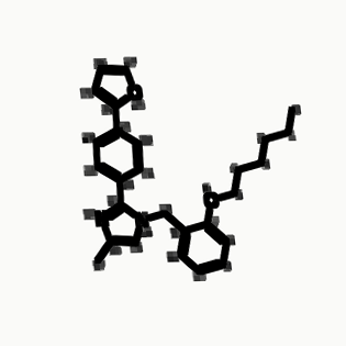 CCCCCCOc1ccccc1Cn1cc(C)nc1-c1ccc(-c2ccco2)cc1